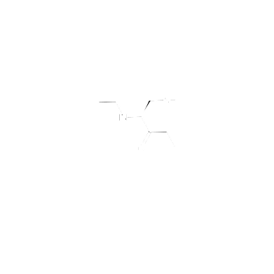 CCN[C@@H](CS)C(=O)CC